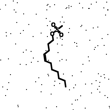 CCCCCC/C=C\CCCOS(C)(=O)=O